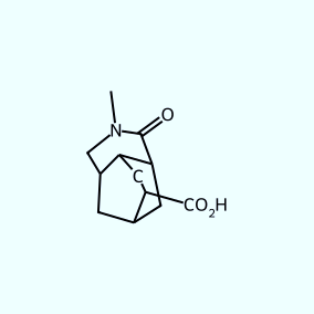 CN1CC2CC3CC(C1=O)C2CC3C(=O)O